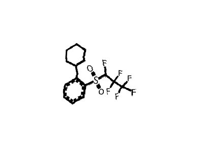 O=S(=O)([C](F)C(F)(F)C(F)(F)F)c1ccccc1C1CCCCC1